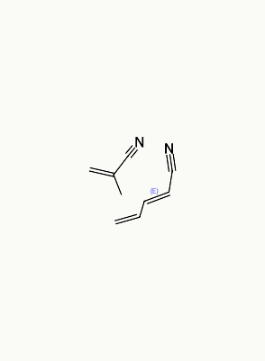 C=C(C)C#N.C=C/C=C/C#N